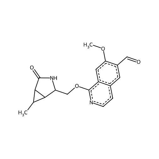 COc1cc2c(OCC3NC(=O)C4C(C)C34)nccc2cc1C=O